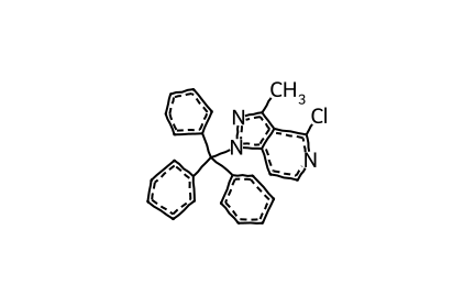 Cc1nn(C(c2ccccc2)(c2ccccc2)c2ccccc2)c2ccnc(Cl)c12